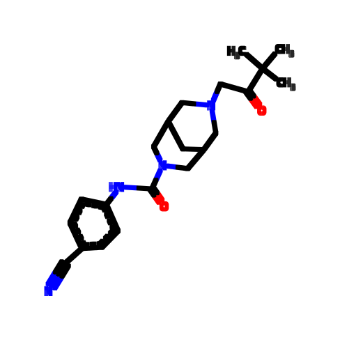 CC(C)(C)C(=O)CN1CC2CC(C1)CN(C(=O)Nc1ccc(C#N)cc1)C2